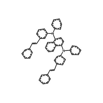 C(=Cc1ccc(N(c2ccccc2)c2ccc(N(c3ccccc3)c3cccc(C=Cc4ccccc4)c3)c3ccccc23)cc1)c1ccccc1